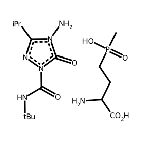 CC(C)c1nn(C(=O)NC(C)(C)C)c(=O)n1N.CP(=O)(O)CCC(N)C(=O)O